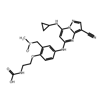 C[S+]([O-])Cc1cc(Nc2cc(NC3CC3)n3ncc(C#N)c3n2)ccc1OCCNC(=O)O